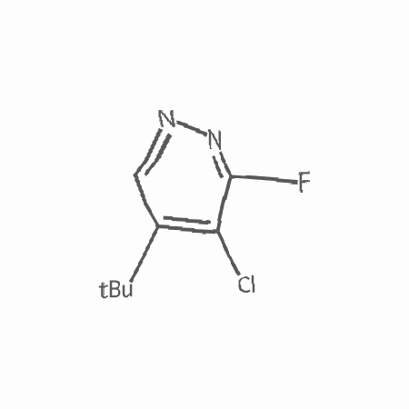 CC(C)(C)c1cnnc(F)c1Cl